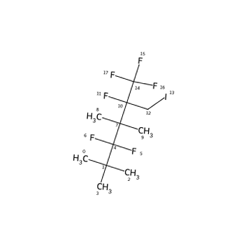 CC(C)(C)C(F)(F)C(C)(C)C(F)(CI)C(F)(F)F